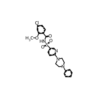 COc1cc(Cl)ccc1C(=O)NS(=O)(=O)c1ccc(N2CCN(c3ccccc3)CC2)nc1